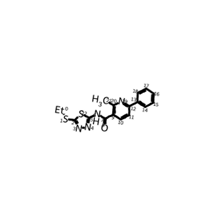 CCSc1nnc(NC(=O)c2ccc(-c3ccccc3)nc2C)s1